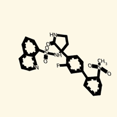 CS(=O)(=O)c1ccccc1-c1ccc([C@@]2(NS(=O)(=O)c3cccc4cccnc34)CCNC2=O)c(F)c1